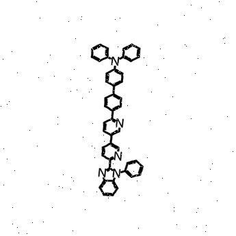 c1ccc(N(c2ccccc2)c2ccc(-c3ccc(-c4ccc(-c5ccc(-c6nc7ccccc7n6-c6ccccc6)nc5)cn4)cc3)cc2)cc1